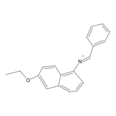 CCOc1ccc2c(/N=C/c3ccccc3)cccc2c1